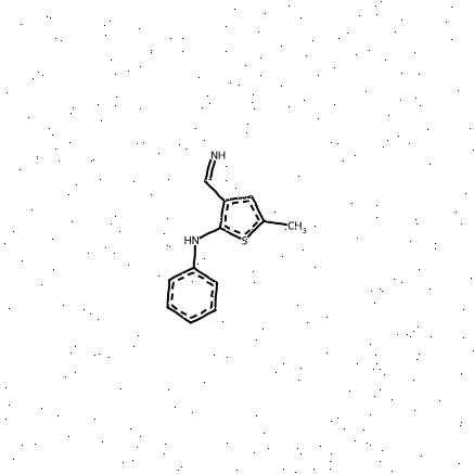 Cc1cc(C=N)c(Nc2ccccc2)s1